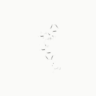 CC(N)COc1ccc(C(=O)NCC(NS(=O)(=O)c2ccccc2)C(=O)O)cc1.Cl